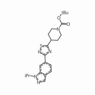 CC(C)n1ncc2ccc(-c3nsc(C4CCN(C(=O)OC(C)(C)C)CC4)n3)cc21